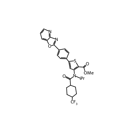 COC(=O)c1sc(-c2ccc(-c3nc4ncccc4o3)cc2)cc1N(C(=O)C1CCC(C(F)(F)F)CC1)C(C)C